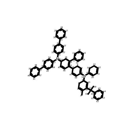 CC1=CCC(N(C2=CCC(C3=C(c4ccccc4)CC(N(c4ccc(-c5ccccc5)cc4)c4ccc(-c5ccccc5)cc4)C=C3)C=C2)C2=CC=CCC2)C=C1C(C)(C)c1ccccc1